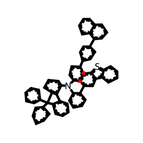 c1ccc(C2(c3ccccc3)c3ccccc3-c3c(N(c4ccc(-c5ccc(-c6cccc7ccccc67)cc5)cc4)c4ccccc4-c4ccc5sc6ccccc6c5c4)cccc32)cc1